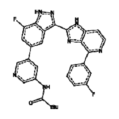 CC(C)(C)C(=O)Nc1cncc(-c2cc(F)c3[nH]nc(-c4nc5c(-c6cccc(F)c6)nccc5[nH]4)c3c2)c1